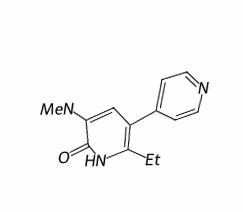 CCc1[nH]c(=O)c(NC)cc1-c1ccncc1